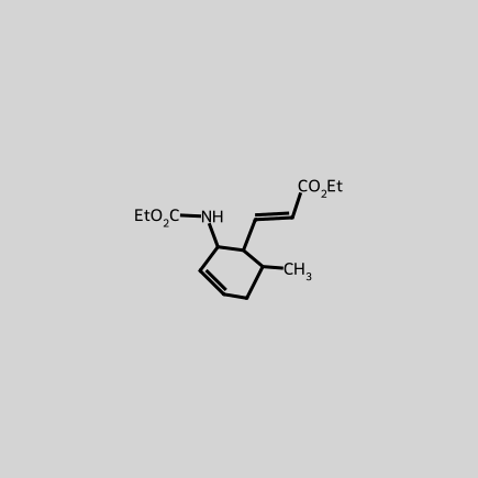 CCOC(=O)C=CC1C(C)CC=CC1NC(=O)OCC